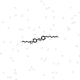 CCCCCCCCc1ccc(/N=C/c2ccc(OCCCCCC)cc2)cc1